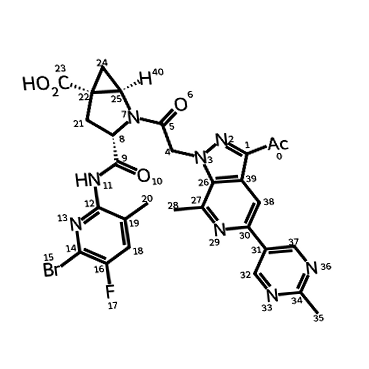 CC(=O)c1nn(CC(=O)N2[C@H](C(=O)Nc3nc(Br)c(F)cc3C)C[C@@]3(C(=O)O)C[C@@H]23)c2c(C)nc(-c3cnc(C)nc3)cc12